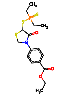 CCOC(=O)c1ccc(N2CSC(SP(=S)(CC)CC)C2=O)cc1